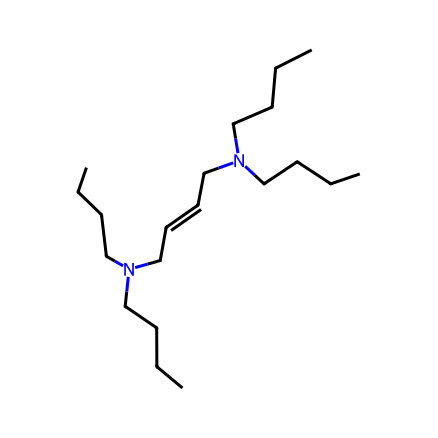 CCCCN(CC=CCN(CCCC)CCCC)CCCC